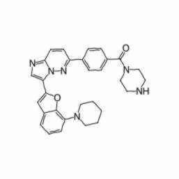 O=C(c1ccc(-c2ccc3ncc(-c4cc5cccc(N6CCCCC6)c5o4)n3n2)cc1)N1CCNCC1